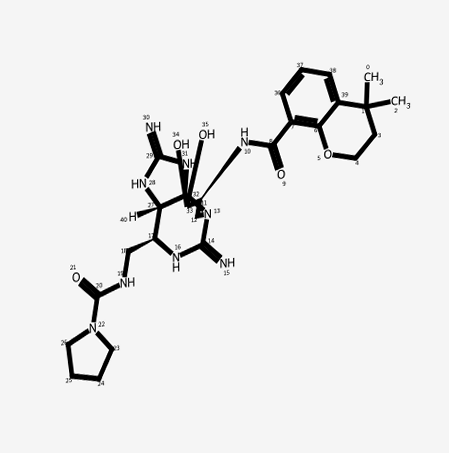 CC1(C)CCOc2c(C(=O)N[C@H]3CN4C(=N)N[C@@H](CNC(=O)N5CCCC5)[C@@H]5NC(=N)N[C@@]54C3(O)O)cccc21